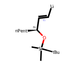 [Li]/[CH]=C/[C@H](CCCCC)O[Si](C)(C)C(C)(C)C